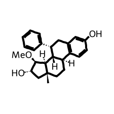 CO[C@H]1[C@H]2[C@H]3[C@H](CC[C@]2(C)C[C@@H]1O)c1ccc(O)cc1C[C@H]3c1ccccc1